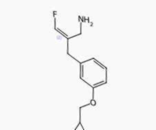 NC/C(=C\F)Cc1cccc(OCC2CC2)c1